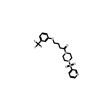 O=C(CCCOc1cccc(C(F)(F)F)c1)N1CCN(S(=O)(=O)c2cccnc2)CC1